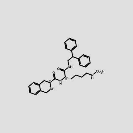 O=C(O)NCCCC[C@H](NC(=O)[C@@H]1Cc2ccccc2CN1)C(=O)NCC(c1ccccc1)c1ccccc1